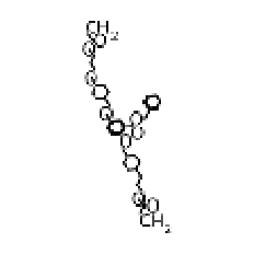 C=CC(=O)OCCCOC1CCC(COc2ccc(OCC3CCC(CCCOC(=O)C=C)CC3)c(C(=O)OCc3ccccc3)c2)CC1